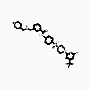 O=C(Nc1ccc(S(=O)(=O)N2CCN(c3cc(C(F)(F)F)cc(Cl)n3)CC2)cc1)c1cccc(CNCC2CCNCC2)c1